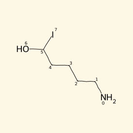 NCCCCC(O)I